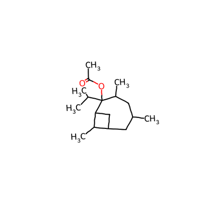 CC(=O)OC1(C(C)C)C(C)CC(C)CC2CC1C2C